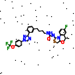 CC(C)c1cc(F)ccc1N1C(=O)CS/C1=N\C(=O)NCCCCc1cccc(-c2ncn(-c3ccc(OC(F)(F)F)cc3)n2)c1